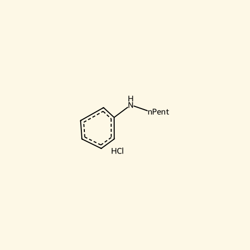 CCCCCNc1ccccc1.Cl